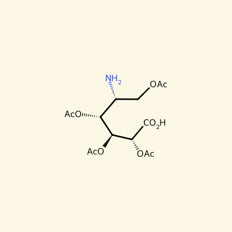 CC(=O)OC[C@@H](N)[C@@H](OC(C)=O)[C@H](OC(C)=O)[C@@H](OC(C)=O)C(=O)O